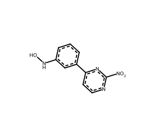 O=[N+]([O-])c1nccc(-c2cccc(NO)c2)n1